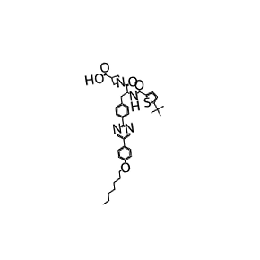 CCCCCCCOc1ccc(-c2cnc(-c3ccc(CC(NC(=O)c4ccc(C(C)(C)C)s4)C(=O)N4CC(C(=O)O)C4)cc3)nc2)cc1